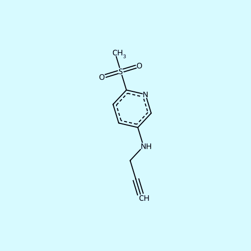 C#CCNc1ccc(S(C)(=O)=O)nc1